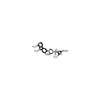 COc1cc2c(cc1N1CCN(S(=O)(=O)c3sc(NC(C)=O)nc3C)CC1)c1ccnc(C)c1n2C